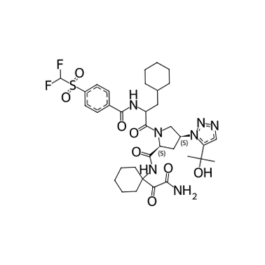 CC(C)(O)c1cnnn1[C@H]1C[C@@H](C(=O)NC2(C(=O)C(N)=O)CCCCC2)N(C(=O)C(CC2CCCCC2)NC(=O)c2ccc(S(=O)(=O)C(F)F)cc2)C1